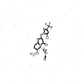 COc1ccc2nc(Cn3nc(C(F)(F)F)cc3Cl)cc(=O)n2c1[C@@H]1C[C@H]1C#N